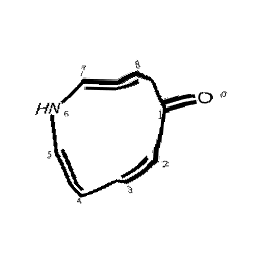 O=C1C=CC=CNC=C1